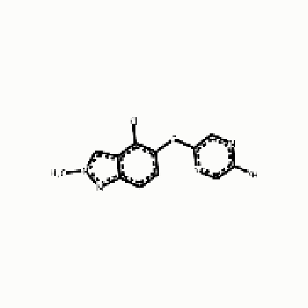 [2H]c1cnc(Sc2ccc3nn(C)cc3c2Cl)cn1